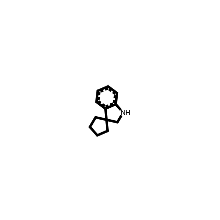 [c]1ccc2c(c1)NCC21CCCC1